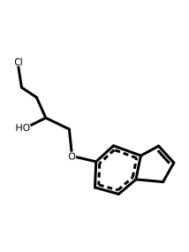 OC(CCCl)COc1ccc2c(c1)C=CC2